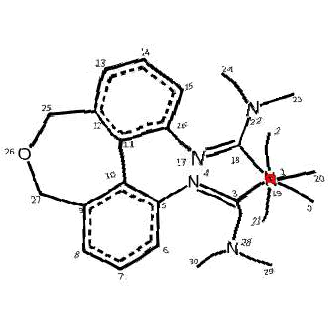 CN(C)C(=Nc1cccc2c1-c1c(cccc1N=C(N(C)C)N(C)C)COC2)N(C)C